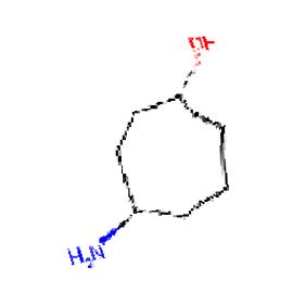 N[C@@H]1CCC[C@@H](O)CC1